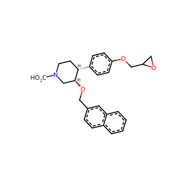 O=C(O)N1CC[C@H](c2ccc(OCC3CO3)cc2)[C@@H](OCc2ccc3ccccc3c2)C1